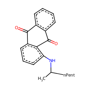 CCCCCC(C)Nc1cccc2c1C(=O)c1ccccc1C2=O